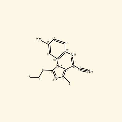 CCCc1nc(C)c2c(C#N)nc3ccc(F)cc3n12